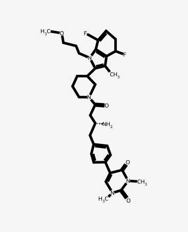 COCCCn1c2c(c(C)c1C1CCCN(C(=O)C[C@H](N)Cc3ccc(-c4cn(C)c(=O)n(C)c4=O)cc3)C1)C(F)CC=C2F